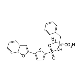 C[C@@](Cc1ccccc1)(NS(=O)(=O)c1ccc(C2=CC3C=CC=CC3O2)s1)C(=O)O